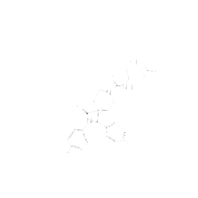 CC(C)C[C@@H](CO)NC(=O)N1CCC2(CC1)C(=O)N(c1ccc(F)cc1)C2c1ccc(Cl)cc1